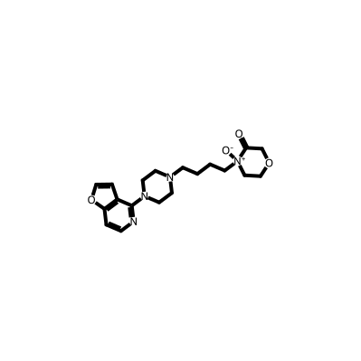 O=C1COCC[N+]1([O-])CCCCN1CCN(c2nccc3occc23)CC1